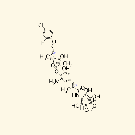 C/C(=C\c1ccc(O[C@@H]2O[C@H](/C(C)=C/COc3ccc(Cl)cc3F)[C@@H](O)[C@@]2(C)O)c(N)c1)C(=O)N[C@@H]1[C@H](O)[C@@H](O)[C@H]2OCO[C@H]2[C@@H]1O